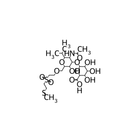 CSCCS(=O)(=O)CCOCC1OC(C(C)C)C(NC(C)=O)C(OC2OC(C(=O)O)C(O)C(O)C2O)C1O